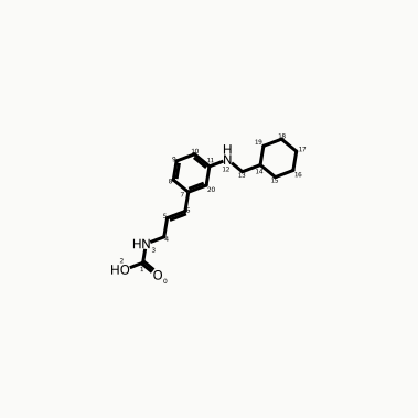 O=C(O)NCC=Cc1cccc(NCC2CCCCC2)c1